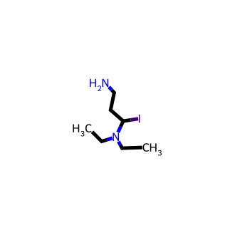 CCN(CC)C(I)CCN